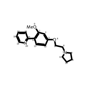 COc1cc(OCCN2CCCC2)ccc1-c1ccc[c]n1